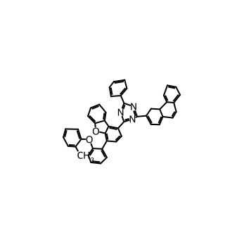 Cc1ccccc1Oc1ccccc1-c1ccc(-c2nc(C3=CC=C4C=Cc5ccccc5C4C3)nc(-c3ccccc3)n2)c2c1oc1ccccc12